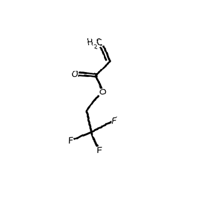 C=CC(=O)OCC(F)(F)F